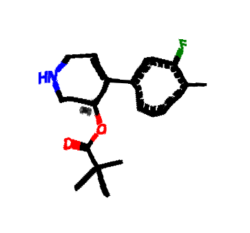 Cc1ccc(C2=CCNC[C@@H]2OC(=O)C(C)(C)C)cc1F